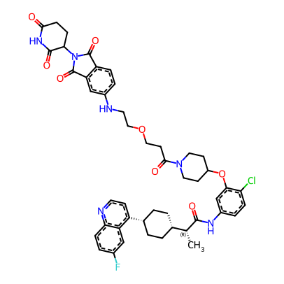 C[C@@H](C(=O)Nc1ccc(Cl)c(OC2CCN(C(=O)CCOCCNc3ccc4c(c3)C(=O)N(C3CCC(=O)NC3=O)C4=O)CC2)c1)[C@H]1CC[C@@H](c2ccnc3ccc(F)cc32)CC1